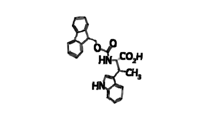 CC(c1c[nH]c2ccccc12)[C@H](NC(=O)OCC1c2ccccc2-c2ccccc21)C(=O)O